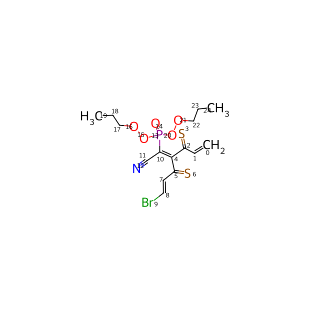 C=CC(=S)C(C(=S)C=CBr)=C(C#N)P(=O)(OOCCC)OOCCC